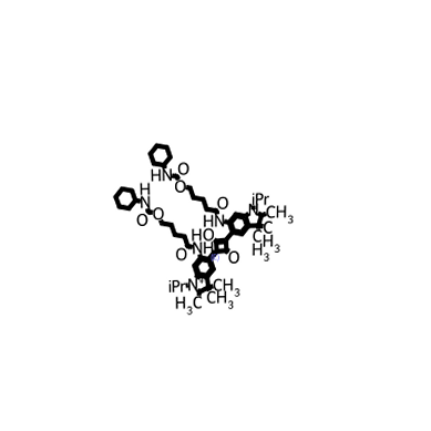 CC(C)N1c2cc(NC(=O)CCCCOC(=O)NC3CCCCC3)c(C3=C(O)/C(=c4/cc5c(cc4NC(=O)CCCCOC(=O)NC4CCCCC4)=[N+](C(C)C)C(C)C5(C)C)C3=O)cc2C(C)(C)C1C